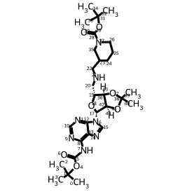 CC(C)(C)OC(=O)Nc1ncnc2c1ncn2[C@@H]1O[C@H](CNCC2CCCN(C(=O)OC(C)(C)C)C2)[C@H]2OC(C)(C)O[C@H]21